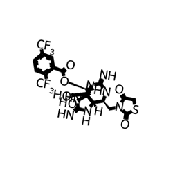 N=C1N[C@H]2[C@H](CN3C(=O)CSC3=O)NC(=N)N3C[C@H](OC(=O)c4cc(C(F)(F)F)ccc4C(F)(F)F)C(O)(O)C23N1